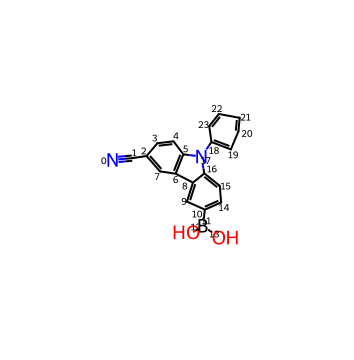 N#Cc1ccc2c(c1)c1cc(B(O)O)ccc1n2-c1ccccc1